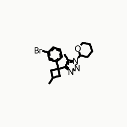 Cc1c(C2(c3cccc(Br)c3)CC(C)C2)nnn1C1CCCCO1